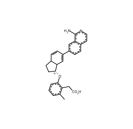 Cc1cccc(O[C@@H]2CCC3C=CC(c4ccc5ccnc(N)c5c4)=CC32)c1CC(=O)O